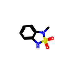 CN1c2c[c]ccc2NS1(=O)=O